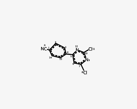 N#Cc1ccc(-c2cc(Cl)nc(Cl)n2)cc1